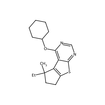 CCC1(C)CCc2sc3ncnc(OC4CCCCC4)c3c21